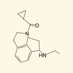 CCNC1CC2c3c(cccc31)CCN2C(=O)C1CC1